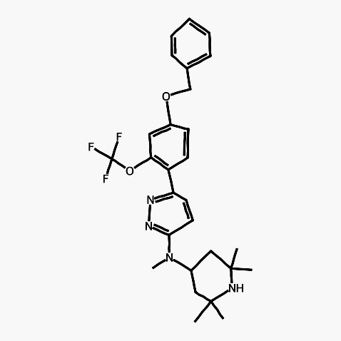 CN(c1ccc(-c2ccc(OCc3ccccc3)cc2OC(F)(F)F)nn1)C1CC(C)(C)NC(C)(C)C1